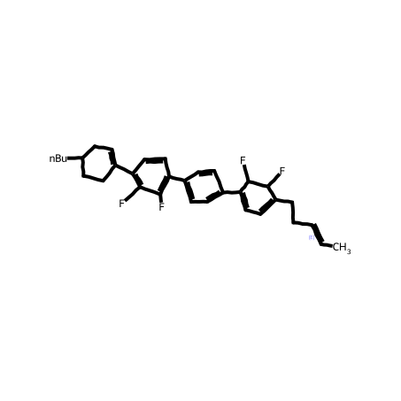 C/C=C/CCC1=CC=C(c2ccc(-c3ccc(C4=CCC(CCCC)CC4)c(F)c3F)cc2)C(F)C1F